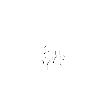 CC1(c2cc(C=C(F)c3cnc(Cl)cn3)ccc2F)CS(=O)(=O)C2(CCC2)C(N)=N1